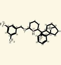 O=C(C1CCCC(OCc2cc(C(F)(F)F)cc(C(F)(F)F)c2)N1)C1CCC2CCC1(c1ccccc1)N2